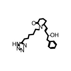 O=C1CCCC(/C=C/[C@H](O)Cc2ccccc2)N1CCCCCCc1nnn[nH]1